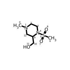 CN1CCN(S(C)(=O)=O)C(CO)C1